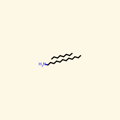 CCCCCCCC.CCCCCCCCCCCCN